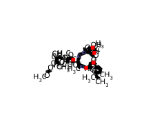 CCC(C)[C@H]1O[C@]2(C=C[C@@H]1C)C[C@@H]1C[C@@H](C/C=C(\C)[C@@H](OC3C[C@H](OC)[C@@H](OC4C[C@H](OC)[C@H](OCOCCOC)[C@H](C)O4)[C@H](C)O3)C(C)/C=C/C=C3\CO[C@@H]4[C@H](O)C(C)=C[C@@H](C(=O)O1)[C@]34O)O2